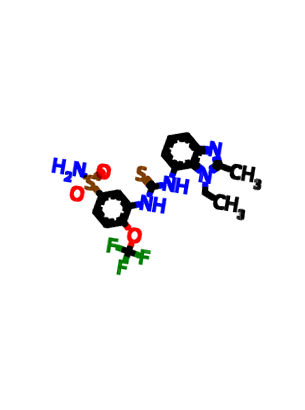 CCn1c(C)nc2cccc(NC(=S)Nc3cc(S(N)(=O)=O)ccc3OC(F)(F)F)c21